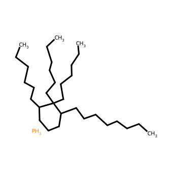 CCCCCCCCC1CCCC(CCCCCC)C1(CCCCCC)CCCCCC.P